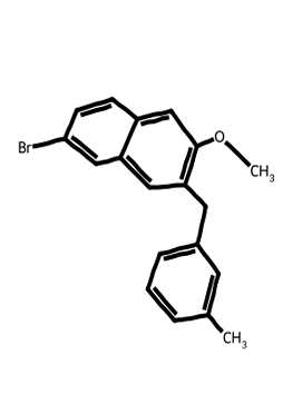 COc1cc2ccc(Br)cc2cc1Cc1cccc(C)c1